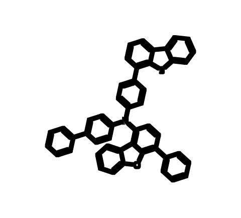 c1ccc(-c2ccc(N(c3ccc(-c4cccc5c4sc4ccccc45)cc3)c3ccc(-c4ccccc4)c4oc5ccccc5c34)cc2)cc1